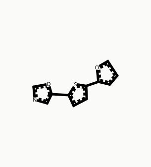 c1coc(-c2ccc(-c3cnco3)s2)c1